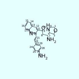 C1COCCN1.NCCC(=O)c1cc2ccccc2nc1C=Cc1ccc(N)cc1